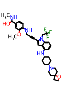 CNC(O)c1ccc(NCC#Cc2cc3c(N[C@H]4CC[C@@H](N5CCC6(CCO6)CC5)CC4)cccc3n2CC(F)(F)F)c(OC)c1